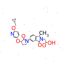 CC1c2ccc(N3CC[C@@H](Oc4ccc(OCC5CC5)nc4)C3=O)cc2C(=O)N1CC(=O)O